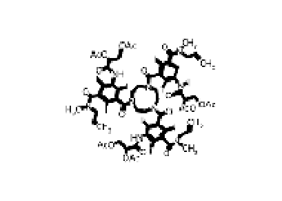 C=CCN(C)C(=O)c1cc(N(I)C(=O)C(COC(C)=O)OC(C)=O)c(I)c(C(=O)N2CCN(C(=O)c3c(I)c(NC(=O)C(COC(C)=O)OC(C)=O)c(I)c(C(=O)N(C)CC=C)c3I)CCN(C(=O)c3c(I)c(NC(=O)C(COC(C)=O)OC(C)=O)c(I)c(C(=O)N(C)CC=C)c3I)CC2)c1I